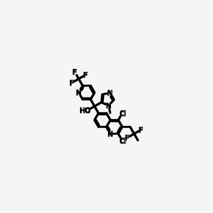 Cn1cncc1C(O)(c1ccc(C(F)(F)F)nc1)c1ccc2nc(Cl)c(CC(C)(F)F)c(Cl)c2c1